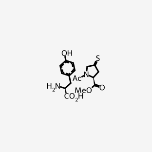 COC(=O)[C@@H]1CC(=S)CN1C(C)=O.N[C@@H](Cc1ccc(O)cc1)C(=O)O